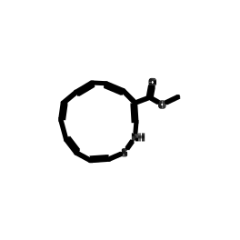 COC(=O)C1=CNSC=CC=CC=CC=CC=C1